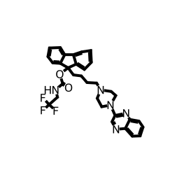 O=C(NCC(F)(F)F)OC1(CCCCN2CCN(c3cnc4ccccc4n3)CC2)c2ccccc2-c2ccccc21